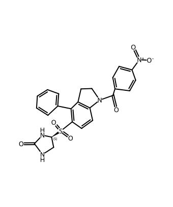 O=C1NC[C@H](S(=O)(=O)c2ccc3c(c2-c2ccccc2)CCN3C(=O)c2ccc([N+](=O)[O-])cc2)N1